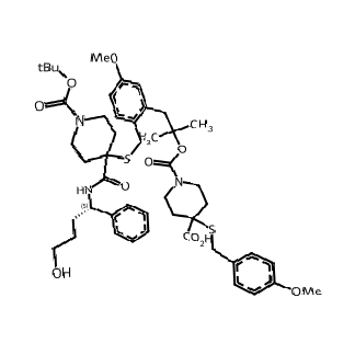 COc1ccc(CSC2(C(=O)O)CCN(C(=O)OC(C)(C)Cc3cc(OC)ccc3CSC3(C(=O)N[C@@H](CCCO)c4ccccc4)CCN(C(=O)OC(C)(C)C)CC3)CC2)cc1